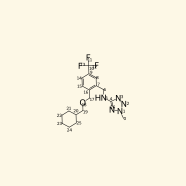 Cn1nnc(NCc2cc(C(F)(F)F)ccc2COCC2CCCCC2)n1